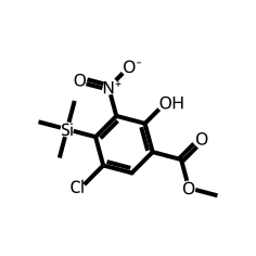 COC(=O)c1cc(Cl)c([Si](C)(C)C)c([N+](=O)[O-])c1O